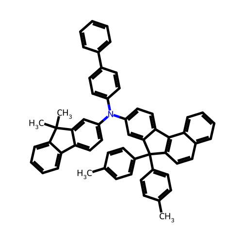 Cc1ccc(C2(c3ccc(C)cc3)c3cc(N(c4ccc(-c5ccccc5)cc4)c4ccc5c(c4)C(C)(C)c4ccccc4-5)ccc3-c3c2ccc2ccccc32)cc1